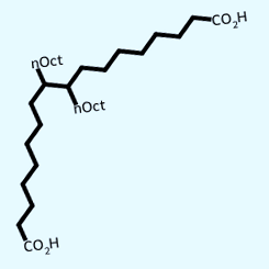 CCCCCCCCC(CCCCCCCC(=O)O)C(CCCCCCCC)CCCCCCCC(=O)O